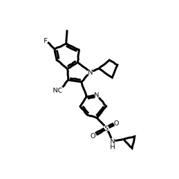 Cc1cc2c(cc1F)c(C#N)c(-c1ccc(S(=O)(=O)NC3CC3)cn1)n2C1CCC1